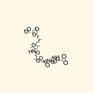 COC(=O)C[C@@H]1C[C@]2(CO2)C[C@@H](C=CC(C)=CC[C@@H]2O[C@H](C)[C@H](NC(=O)C=C[C@H](C)OC(=O)CCc3ccccc3NC(=O)[C@H](C)NC(=O)OCC3c4ccccc4-c4ccccc43)C[C@@H]2C)O1